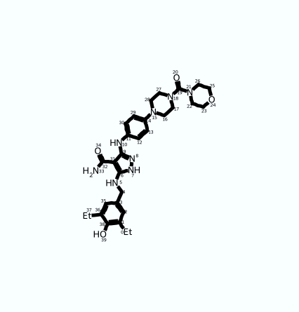 CCc1cc(CNc2[nH]nc(Nc3ccc(N4CCN(C(=O)N5CCOCC5)CC4)cc3)c2C(N)=O)cc(CC)c1O